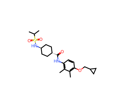 Cc1c(NC(=O)[C@H]2CC[C@H](NS(=O)(=O)C(C)C)CC2)ccc(OCC2CC2)c1C